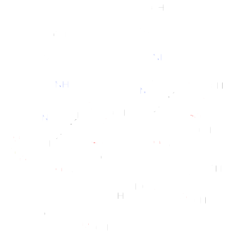 COC(=O)[C@H]1[C@H]2C[C@@H]3c4[nH]c5cc(OC)ccc5c4CCN3C[C@H]2C[C@@H](OC(=O)c2cc(OC)c(OC)c(OC)c2)[C@@H]1OC.COC(=O)[C@H]1[C@H]2C[C@@H]3c4[nH]c5cc(OC)ccc5c4CCN3C[C@H]2C[C@@H](OC(=O)c2cc(OC)c(OC)c(OC)c2)[C@@H]1OC.O=S=O